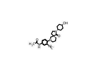 [C-]#[N+]c1cc(NC(C)=O)ccc1N1CCC[C@]2(CCN([C@H]3CC[C@H](O)CC3)C2=O)C1